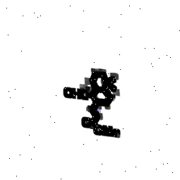 COC(=O)/C=C/C1=CCC2C(C)(C)CCC[C@]2(C)[C@@H]1C=O